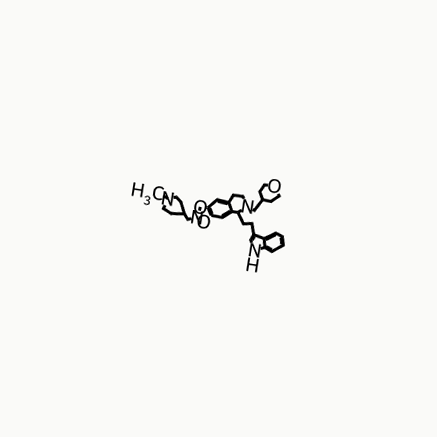 CN1CCC(CN2Oc3cc4c(cc3O2)C(CCc2c[nH]c3ccccc23)N(CC2CCOCC2)CC4)CC1